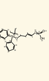 CC(C)(C)[Si](OCC/C=C/O[PH](=O)O)(c1ccccc1)c1ccccc1